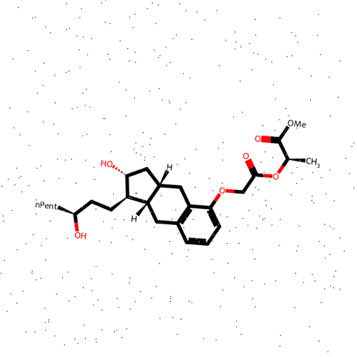 CCCCC[C@H](O)CC[C@@H]1[C@H]2Cc3cccc(OCC(=O)O[C@H](C)C(=O)OC)c3C[C@H]2C[C@H]1O